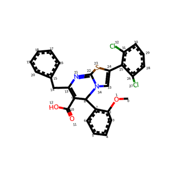 COc1ccccc1C1C(C(=O)O)=C(Cc2ccccc2)N=C2SC(c3c(Cl)cccc3Cl)=CN21